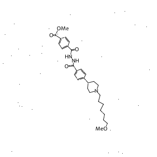 COCCCCCCCN1CCC(c2ccc(C(=O)NNC(=O)c3ccc(C(=O)OC)cc3)cc2)CC1